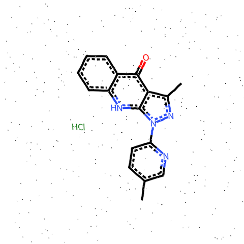 Cc1ccc(-n2nc(C)c3c(=O)c4ccccc4[nH]c32)nc1.Cl